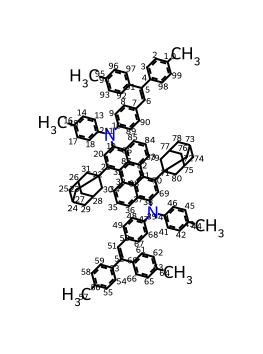 Cc1ccc(C(=Cc2ccc(N(c3ccc(C)cc3)c3cc(C45CC6CC(CC(C6)C4)C5)c4c5cccc6c(N(c7ccc(C)cc7)c7ccc(C=C(c8ccc(C)cc8)c8ccc(C)cc8)cc7)cc(C78CC9CC(CC(C9)C7)C8)c(c7cccc3c74)c65)cc2)c2ccc(C)cc2)cc1